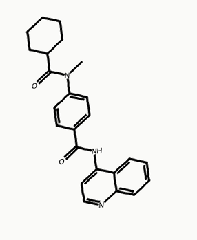 CN(C(=O)C1CCCCC1)c1ccc(C(=O)Nc2ccnc3ccccc23)cc1